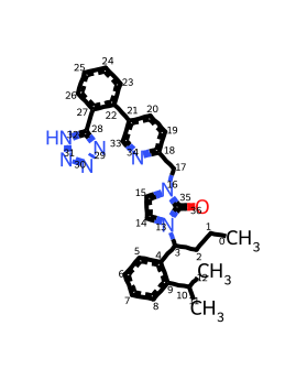 CCCC(c1ccccc1C(C)C)n1ccn(Cc2ccc(-c3ccccc3-c3nnn[nH]3)cn2)c1=O